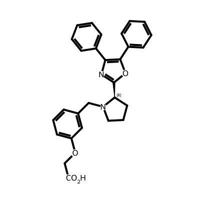 O=C(O)COc1cccc(CN2CCC[C@@H]2c2nc(-c3ccccc3)c(-c3ccccc3)o2)c1